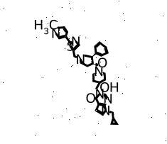 Cc1ccc(-c2ncc(CN3CC[C@@H](C(=O)N4CCC(O)(Cn5cnc6c(ccn6CC6CC6)c5=O)CC4)[C@H](c4ccccc4)C3)s2)cn1